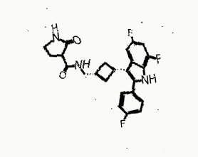 O=C1NCCC1C(=O)NC[C@H]1C[C@@H](c2c(-c3ccc(F)cc3)[nH]c3c(F)cc(F)cc32)C1